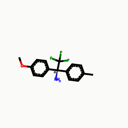 COc1ccc([C@](N)(c2ccc(C)cc2)C(F)(F)F)cc1